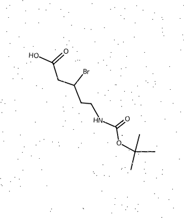 CC(C)(C)OC(=O)NCCC(Br)CC(=O)O